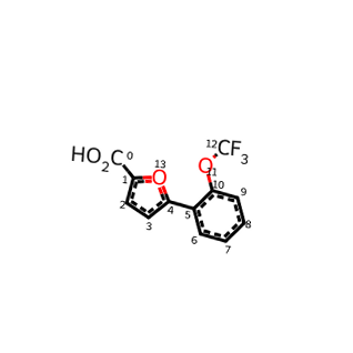 O=C(O)c1ccc(-c2ccccc2OC(F)(F)F)o1